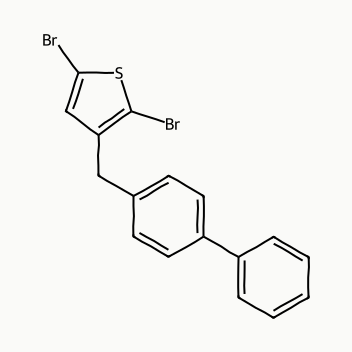 Brc1cc(Cc2ccc(-c3ccccc3)cc2)c(Br)s1